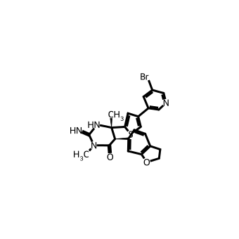 CN1C(=N)N[C@](C)(c2cc(-c3cncc(Br)c3)cs2)[C@@H](c2ccc3c(c2)OCC3)C1=O